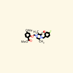 COC(=O)c1ccc(OC)cc1OCN1C[C@@H](C)N(Cc2ccc(F)cc2)C(=C=O)[C@@H]1C